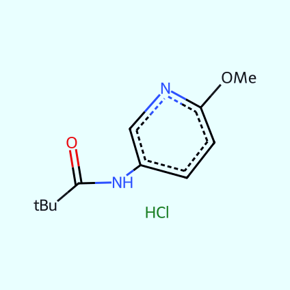 COc1ccc(NC(=O)C(C)(C)C)cn1.Cl